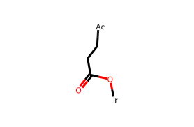 CC(=O)CCC(=O)[O][Ir]